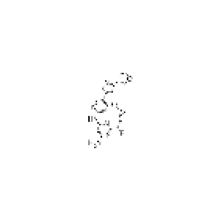 Nc1cc(Nc2cc(OC3CC3)c(-c3cnn(C4CCOC4)c3)cn2)nc(C(F)F)n1